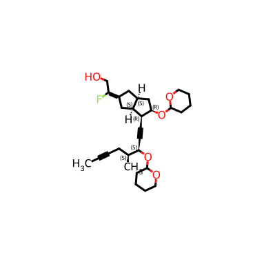 CC#CC[C@H](C)[C@@H](C#C[C@H]1[C@H]2CC(=C(F)CO)C[C@H]2C[C@H]1OC1CCCCO1)OC1CCCCO1